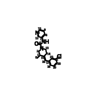 CC1CN(C(=O)Nc2cccnc2)CCC1=Cc1cccc(Cl)c1